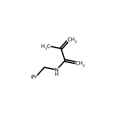 C=C(C)C(=C)NCC(C)C